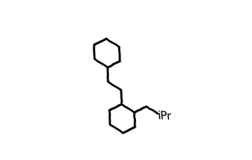 CC(C)CC1CCCCC1CCC1CCCCC1